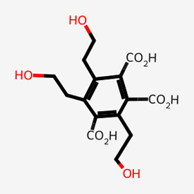 O=C(O)c1c(CCO)c(CCO)c(C(=O)O)c(C(=O)O)c1CCO